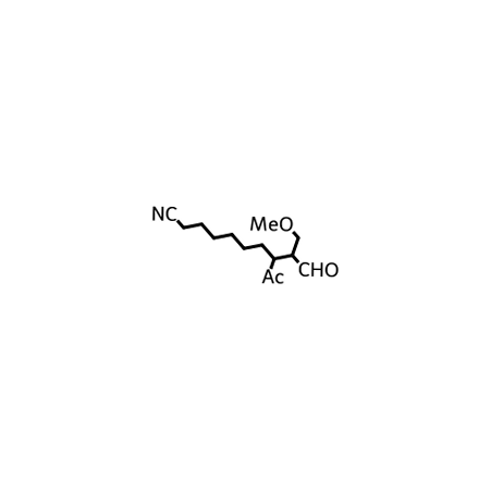 COCC(C=O)C(CCCCCCC#N)C(C)=O